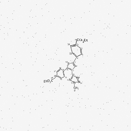 CCOC(=O)c1ccc(-c2cc(-c3nnn(C)n3)c(-c3ccc(C(=O)OCC)cc3)s2)cc1